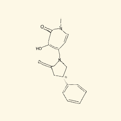 Cn1ccc(N2C[C@H](c3ccccc3)CC2=O)c(O)c1=O